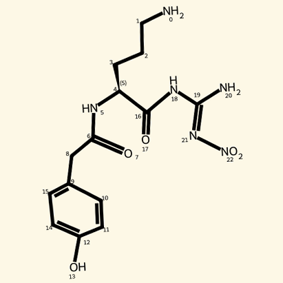 NCCC[C@H](NC(=O)Cc1ccc(O)cc1)C(=O)NC(N)=N[N+](=O)[O-]